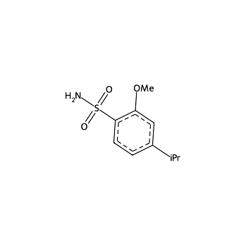 COc1cc(C(C)C)ccc1S(N)(=O)=O